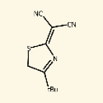 CC(C)(C)C1=NC(=C(C#N)C#N)SC1